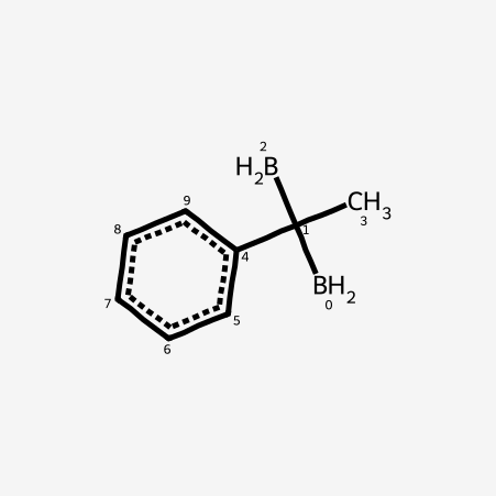 BC(B)(C)c1ccccc1